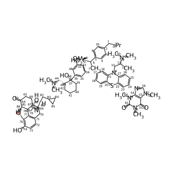 CC(C)Cc1ccc(C(C)C(=O)O)cc1.CC(CN1c2ccccc2Sc2ccccc21)N(C)C.COc1cccc([C@@]2(O)CCCC[C@@H]2CN(C)C)c1.Cn1c(=O)c2c(ncn2C)n(C)c1=O.O=C1CC[C@@]2(O)[C@H]3Cc4ccc(O)c5c4[C@@]2(CCN3CC2CC2)[C@H]1O5